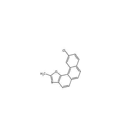 Cc1nc2ccc3ccc4ccc(Cl)cc4c3c2o1